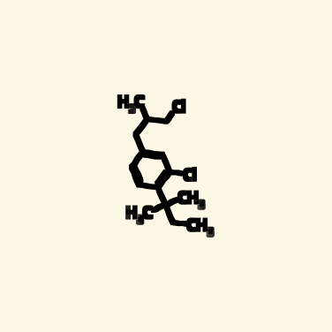 CCC(C)(C)c1ccc(CC(C)CCl)cc1Cl